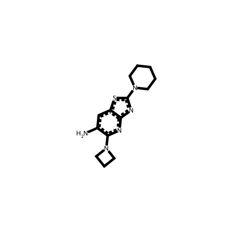 Nc1cc2sc(N3CCCCC3)nc2nc1N1CCC1